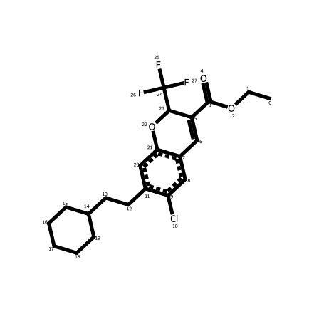 CCOC(=O)C1=Cc2cc(Cl)c(CCC3CCCCC3)cc2OC1C(F)(F)F